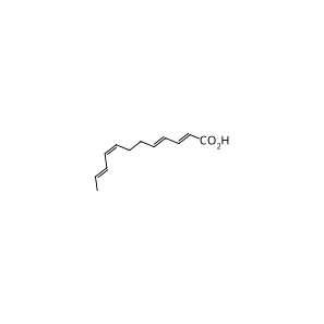 C/C=C/C=C\CC/C=C/C=C/C(=O)O